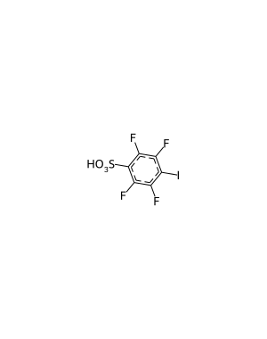 O=S(=O)(O)c1c(F)c(F)c(I)c(F)c1F